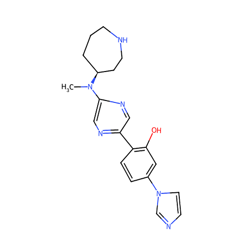 CN(c1cnc(-c2ccc(-n3ccnc3)cc2O)cn1)[C@H]1CCCNCC1